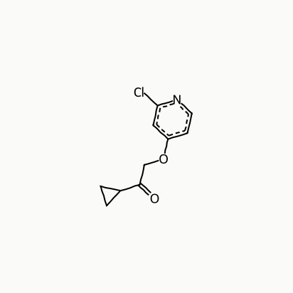 O=C(COc1ccnc(Cl)c1)C1CC1